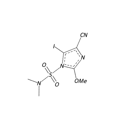 COc1nc(C#N)c(I)n1S(=O)(=O)N(C)C